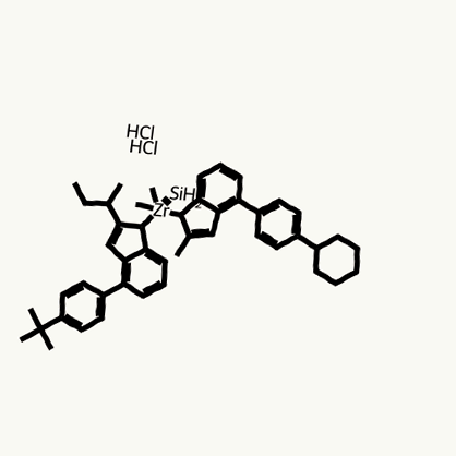 CCC(C)C1=Cc2c(-c3ccc(C(C)(C)C)cc3)cccc2[CH]1[Zr]([CH3])([CH3])(=[SiH2])[CH]1C(C)=Cc2c(-c3ccc(C4CCCCC4)cc3)cccc21.Cl.Cl